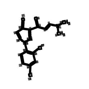 CN(C)C=CC(=O)c1nn(-c2ccc(Cl)cc2Cl)ccc1=O